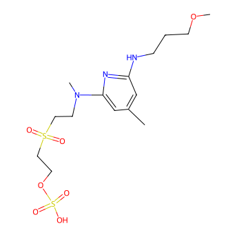 COCCCNc1cc(C)cc(N(C)CCS(=O)(=O)CCOS(=O)(=O)O)n1